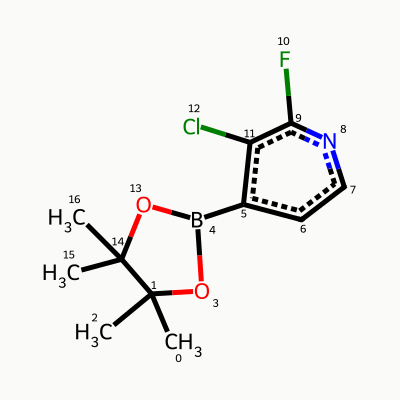 CC1(C)OB(c2ccnc(F)c2Cl)OC1(C)C